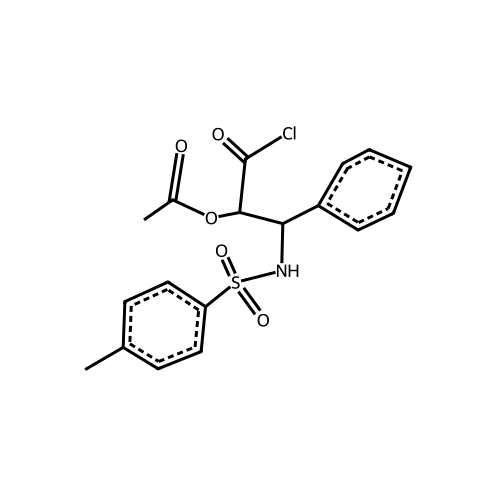 CC(=O)OC(C(=O)Cl)C(NS(=O)(=O)c1ccc(C)cc1)c1ccccc1